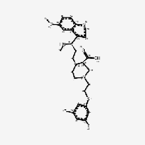 CN[C@H](CC[C@@H]1CCN(CCSc2cc(F)cc(F)c2)C[C@@H]1C(=O)O)c1ccnc2ccc(OC)cc12